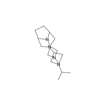 CC(C)N1CC(N2CC3CCC(C2)N3C2CN(C)C2)C1